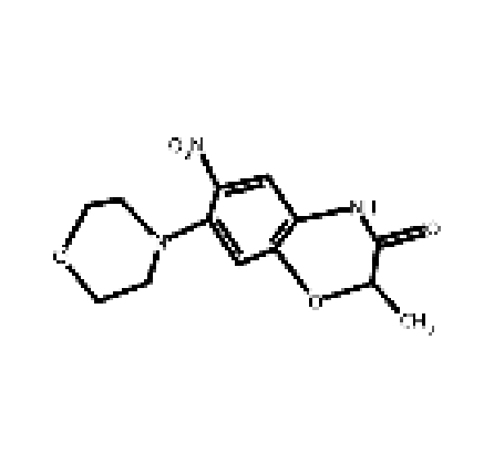 CC1Oc2cc(N3CCOCC3)c([N+](=O)[O-])cc2NC1=O